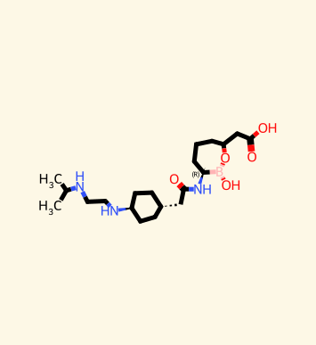 CC(C)NCCN[C@H]1CC[C@H](CC(=O)N[C@H]2CCCC(CC(=O)O)OB2O)CC1